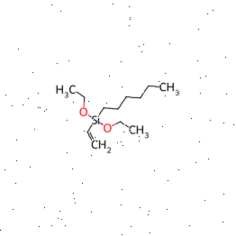 C=C[Si](CCCCCC)(OCC)OCC